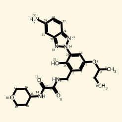 CCC(C)Oc1cc(CNC(=O)C(=O)NC2CCOCC2)c(O)c(-n2nc3ccc(N)cc3n2)c1